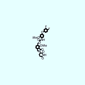 COc1cc(Oc2ccc(F)c(F)c2)ccc1NC(=O)OCc1ccc2c(c1OC)C(=O)N(C1CCC(=O)NC1=O)C2